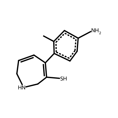 Cc1cc(N)ccc1C1=C(S)CNCC=C1